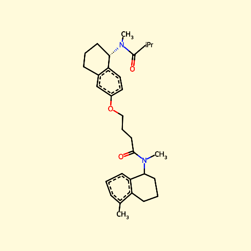 Cc1cccc2c1CCCC2N(C)C(=O)CCCOc1ccc2c(c1)CCC[C@@H]2N(C)C(=O)C(C)C